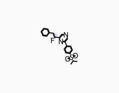 CC(C)S(=O)(=O)c1ccc(-c2cncc(/C(F)=C/c3ccccc3)n2)cc1